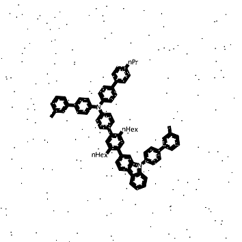 CCCCCCc1cc(-c2ccc3c4ccccc4n(-c4ccc(-c5cccc(C)c5)cc4)c3c2)c(CCCCCC)cc1-c1ccc(N(c2ccc(-c3ccc(CCC)cc3)cc2)c2ccc(-c3cccc(C)c3)cc2)cc1